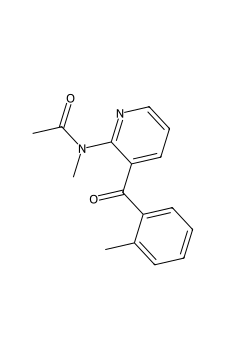 CC(=O)N(C)c1ncccc1C(=O)c1ccccc1C